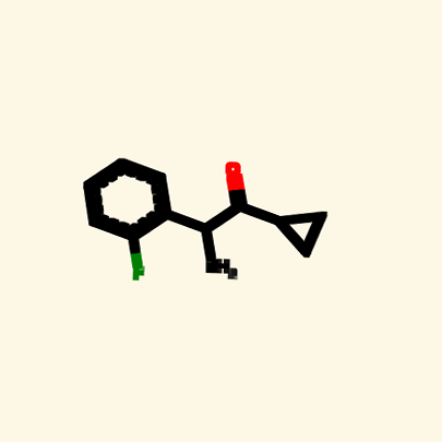 BC(C(=O)C1CC1)c1ccccc1F